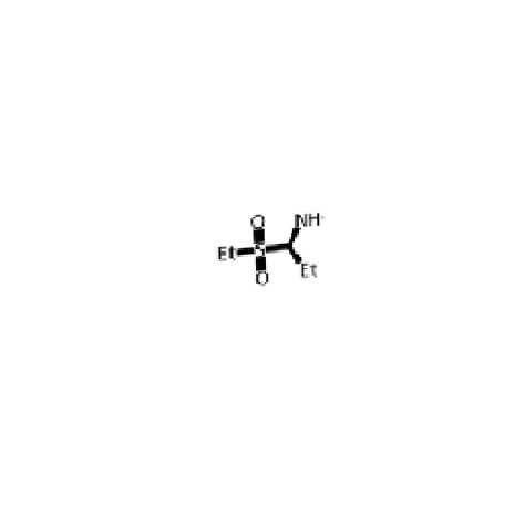 CCC([NH])S(=O)(=O)CC